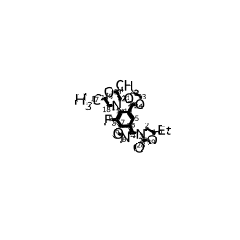 CC[C@@H]1CN(c2noc3c(F)c(N4C[C@@H](C)O[C@H](C)C4)c(C4OCCO4)cc23)C(=O)O1